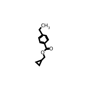 CCc1ccc(C(=O)OCC2CC2)cc1